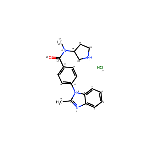 Cc1nc2ccccc2n1-c1ccc(C(=O)N(C)C2CCNC2)cc1.Cl